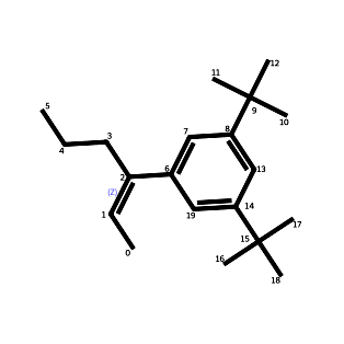 C/C=C(/CCC)c1cc(C(C)(C)C)cc(C(C)(C)C)c1